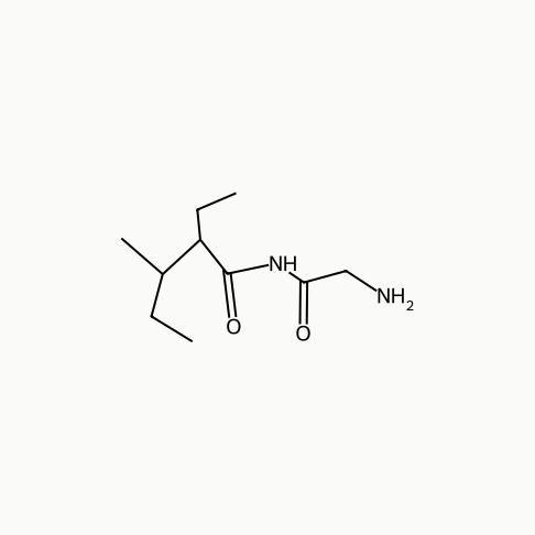 CCC(C)C(CC)C(=O)NC(=O)CN